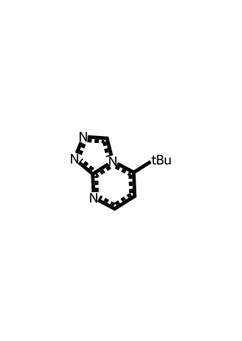 CC(C)(C)c1ccnc2nncn12